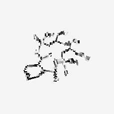 CCCCC(=CP(=O)(O)OC(=O)c1ccccc1C(=O)OP(=O)(O)C=C(CCCC)CCCC)CCCC